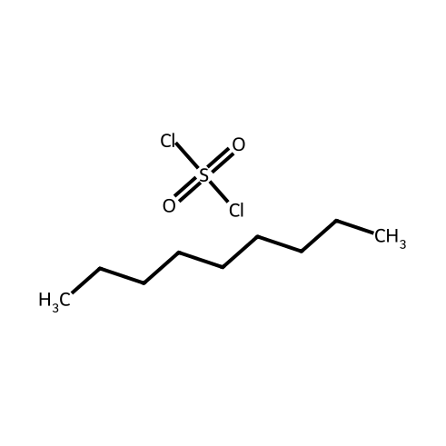 CCCCCCCCC.O=S(=O)(Cl)Cl